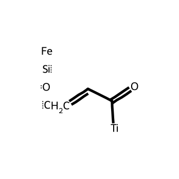 C=C[C](=O)[Ti].[C].[Fe].[O].[Si]